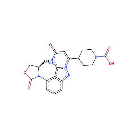 C[C@@H]1COC(=O)N1c1cccc2nn3c(C4CCN(C(=O)O)CC4)cc(=O)[nH]c3c12